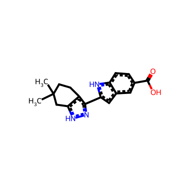 CC1(C)CCc2c(-c3cc4cc(C(=O)O)ccc4[nH]3)n[nH]c2C1